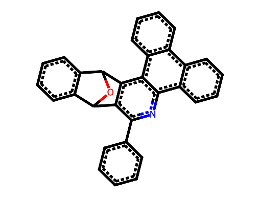 c1ccc(-c2nc3c4ccccc4c4ccccc4c3c3c2C2OC3c3ccccc32)cc1